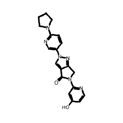 O=C1c2cn(-c3ccc(N4CCCC4)nc3)nc2CN1c1cc(O)ccn1